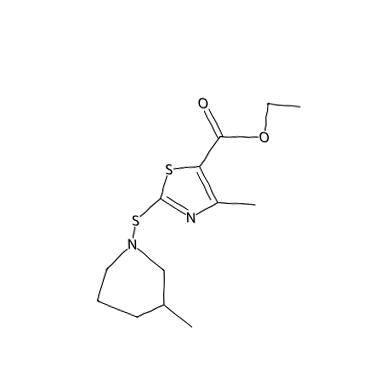 CCOC(=O)c1sc(SN2CCCC(C)C2)nc1C